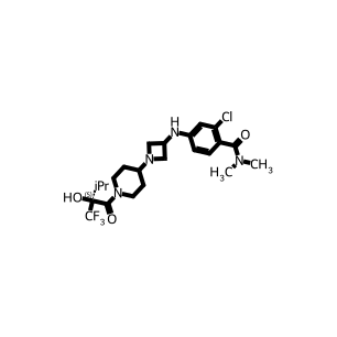 CC(C)[C@](O)(C(=O)N1CCC(N2CC(Nc3ccc(C(=O)N(C)C)c(Cl)c3)C2)CC1)C(F)(F)F